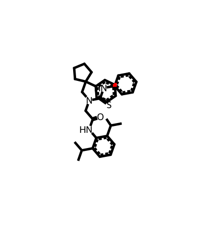 CC(C)c1cccc(C(C)C)c1NC(=O)CN(CC1(c2ccccc2)CCCC1)C(=S)Nc1ccccc1